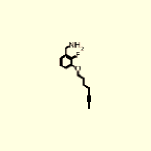 CC#CCCCCOc1cccc(CN)c1F